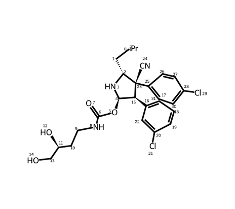 CC(C)C[C@H]1N[C@H](OC(=O)NCC[C@H](O)CO)[C@H](c2cccc(Cl)c2)[C@@]1(C#N)c1ccc(Cl)cc1